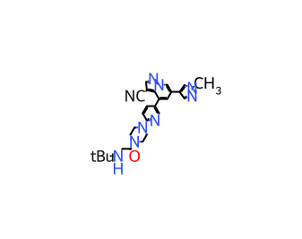 Cn1cc(-c2cc(-c3ccc(N4CCN(C(=O)CNC(C)(C)C)CC4)nc3)c3c(C#N)cnn3c2)cn1